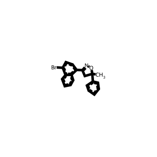 CC1(c2ccccc2)CC(c2ccc(Br)c3ccccc23)=NO1